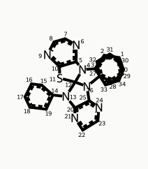 c1ccc(N2c3nccnc3SC23N(c2ccccc2)c2nccnc2N3c2ccccc2)cc1